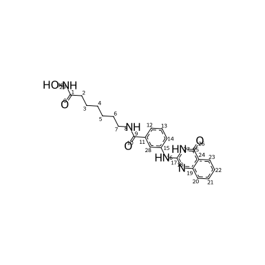 O=C(CCCCCCNC(=O)c1cccc(Nc2nc3ccccc3c(=O)[nH]2)c1)NO